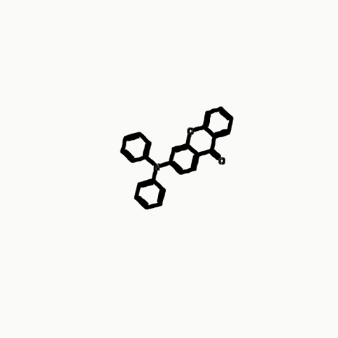 O=c1c2ccccc2oc2cc(N(c3ccccc3)c3ccccc3)ccc12